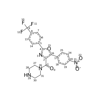 O=C(c1nc(-c2ccc(C(F)(F)F)cc2)oc1-c1ccc([N+](=O)[O-])cc1)N1CCNCC1